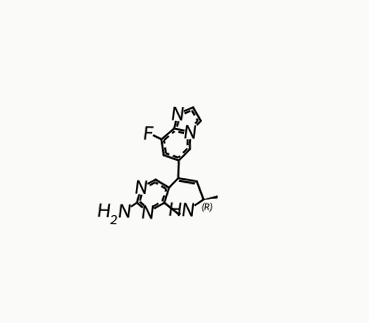 C[C@@H]1C=C(c2cc(F)c3nccn3c2)c2cnc(N)nc2CN1